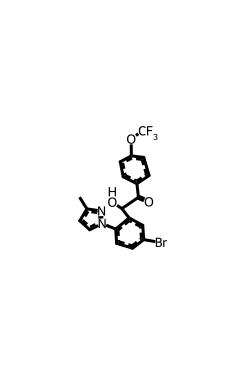 Cc1ccn(-c2ccc(Br)cc2C(O)C(=O)c2ccc(OC(F)(F)F)cc2)n1